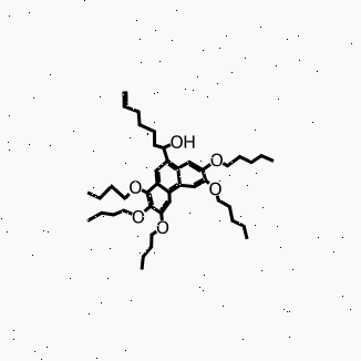 C=CCCCCC(O)c1cc2c(OCCCC)c(OCCCC)c(OCCCC)cc2c2cc(OCCCCC)c(OCCCCC)cc12